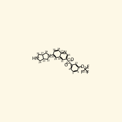 O=S(=O)(c1cccc(OC(F)(F)F)c1)c1cnc2ccc(N3CC4CNCC4C3)cc2c1